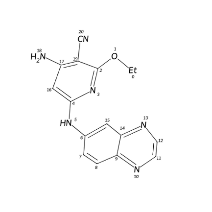 CCOc1nc(Nc2ccc3nccnc3c2)cc(N)c1C#N